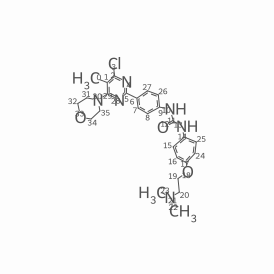 Cc1c(Cl)nc(-c2ccc(NC(=O)Nc3ccc(OCCN(C)C)cc3)cc2)nc1N1CCOCC1